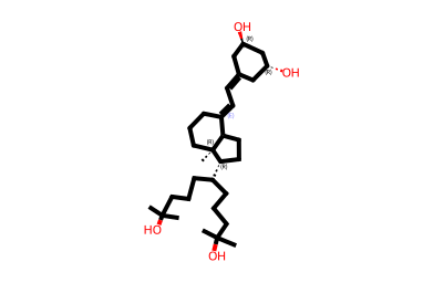 CC(C)(O)CCCC(CCCC(C)(C)O)[C@H]1CCC2/C(=C/C=C3C[C@@H](O)C[C@H](O)C3)CCC[C@@]21C